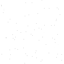 CC#CCOc1ccc(OCCCC(=O)O)cc1